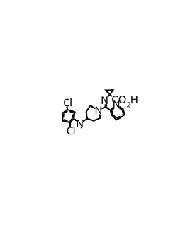 CN(c1cc(Cl)ccc1Cl)C1CCN(C(=NC2(C(=O)O)CC2)c2ccccn2)CC1